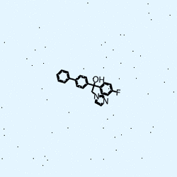 OC(Cn1ccnc1)(c1ccc(F)cc1)c1ccc(-c2ccccc2)cc1